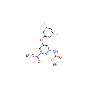 COC(=O)c1cc(Oc2cc(F)cc(F)c2)cc(NC(=O)OC(C)(C)C)n1